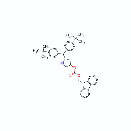 CC(C)(C)c1ccc(C(c2ccc(C(C)(C)C)cc2)[C@H]2C[C@@H](OC(=O)OCC3c4ccccc4-c4ccccc43)CN2)cc1